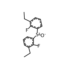 CCc1cccc([S+]([O-])c2cccc(CC)c2F)c1F